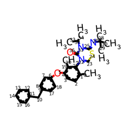 Cc1ccc(Oc2ccc(Cc3ccccc3)cc2)c(C)c1N1CSC(=NC(C)(C)C)N(C(C)C)C1=O